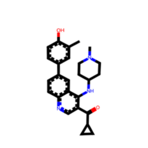 Cc1cc(-c2ccc3ncc(C(=O)C4CC4)c(NC4CCN(C)CC4)c3c2)ccc1O